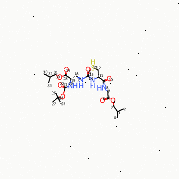 CC(C)COC(=O)CNC(=O)[C@H](CS)NC(=O)NC[C@H](NC(=O)OC(C)(C)C)C(=O)OCC(C)C